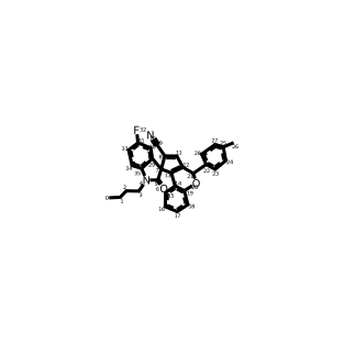 CCCCN1C(=O)C2(C(C#N)=CC3=C2c2ccccc2OC3c2ccc(C)cc2)c2cc(F)ccc21